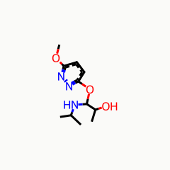 COc1ccc(OC(NC(C)C)C(C)O)nn1